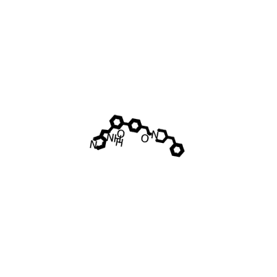 O=C(Cc1ccc(-c2cccc(-c3cc4cnccc4[nH]3)c2O)cc1)N1CCC(Cc2ccccc2)CC1